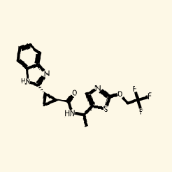 CC(NC(=O)[C@H]1C[C@@H]1c1nc2ccccc2[nH]1)c1cnc(OCC(F)(F)F)s1